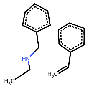 C=Cc1ccccc1.CCNCc1ccccc1